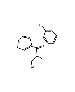 CC(=O)c1ccccc1.CC(CO)C(=O)c1ccccc1